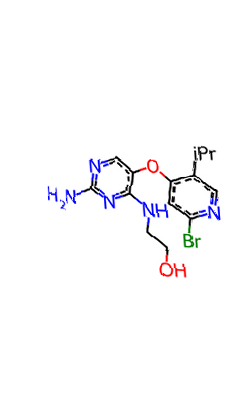 CC(C)c1cnc(Br)cc1Oc1cnc(N)nc1NCCO